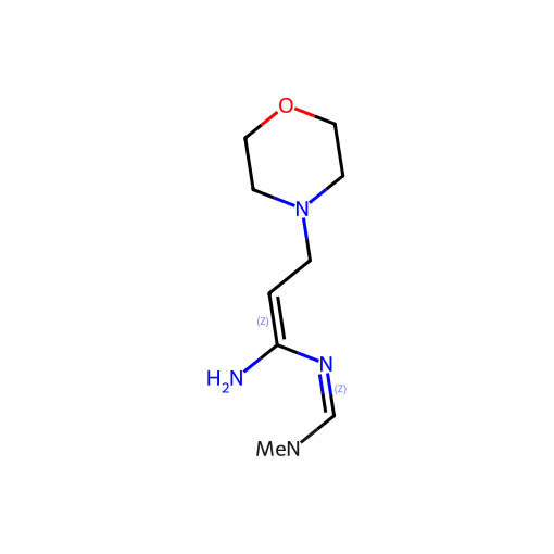 CN/C=N\C(N)=C/CN1CCOCC1